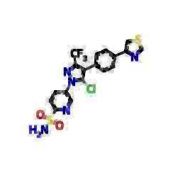 NS(=O)(=O)c1ccc(-n2nc(C(F)(F)F)c(-c3ccc(-c4cscn4)cc3)c2Cl)cn1